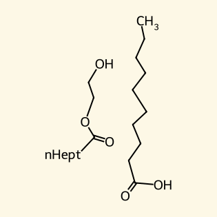 CCCCCCCC(=O)OCCO.CCCCCCCCCC(=O)O